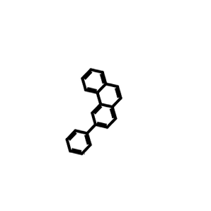 [c]1cccc(-c2ccc3ccc4ccccc4c3c2)c1